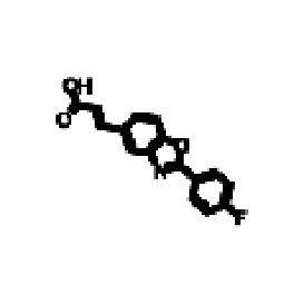 O=C(O)C=Cc1ccc2oc(-c3ccc(F)cc3)nc2c1